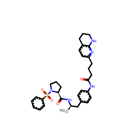 O=C(CCCc1ccc2c(n1)NCCC2)Nc1ccc(C[C@H](NC(=O)[C@@H]2CCCN2S(=O)(=O)c2ccccc2)C(=O)O)cc1